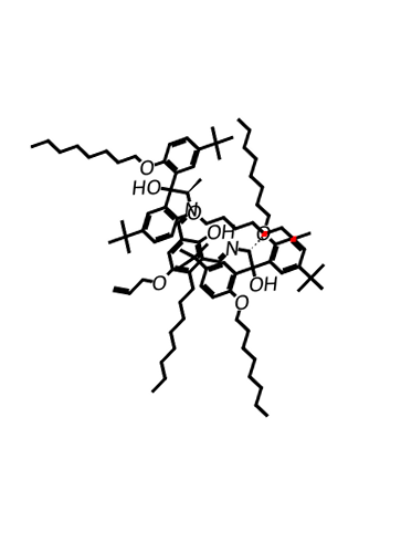 C=CCOc1cc(C=N[C@H](C)C(O)(c2cc(C(C)(C)C)ccc2OCCCCCCCC)c2cc(C(C)(C)C)ccc2OCCCCCCCC)c(O)c(C=N[C@H](C)C(O)(c2cc(C(C)(C)C)ccc2OCCCCCCCC)c2cc(C(C)(C)C)ccc2OCCCCCCCC)c1CCCCCCCC